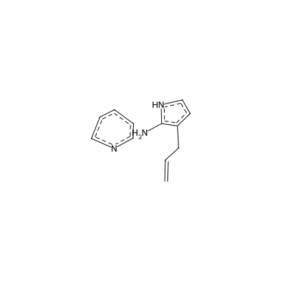 C=CCc1cc[nH]c1N.c1ccncc1